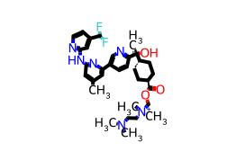 Cc1cc(Nc2cc(C(F)F)ccn2)nc(-c2ccc([C@](C)(O)[C@H]3CC[C@H](C(=O)OC[N+](C)(C)CCN(C)C)CC3)nc2)c1